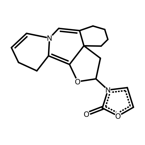 O=c1occn1C1CC23CCCCC2=CN2C=CCCC2=C3O1